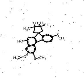 COc1cc2c(O)cc3c(c2cc1SC)-c1ccc(SC)cc1C31CC(C)(C)C(C)(C)C1